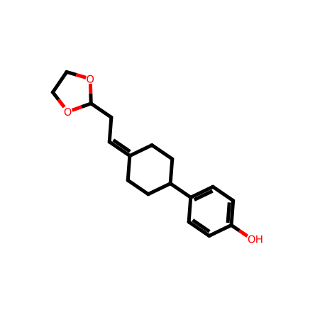 Oc1ccc(C2CCC(=CCC3OCCO3)CC2)cc1